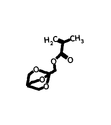 C=C(C)C(=O)OCC12OCC(CO1)CO2